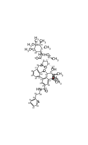 C[C@@H]1[C@@H](NC(=O)[C@@H]2[C@H]([C@H](C)O)[C@H](CO)ON2Cc2cccc(-c3cc(C(=O)NCCc4ccccn4)cc(N(C)C)c3)c2OCCN(C)C)C[C@@H](C)C(C)(C)[C@H]1C